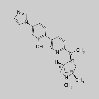 CN(c1ccc(-c2ccc(-n3ccnc3)cc2O)nn1)[C@H]1C[C@@]2(C)C[C@@H]1CN2C